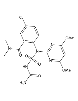 COc1cc(OC)nc(N(c2ccc(Cl)cc2C(=O)N(C)C)S(=O)(=O)NC(N)=O)n1